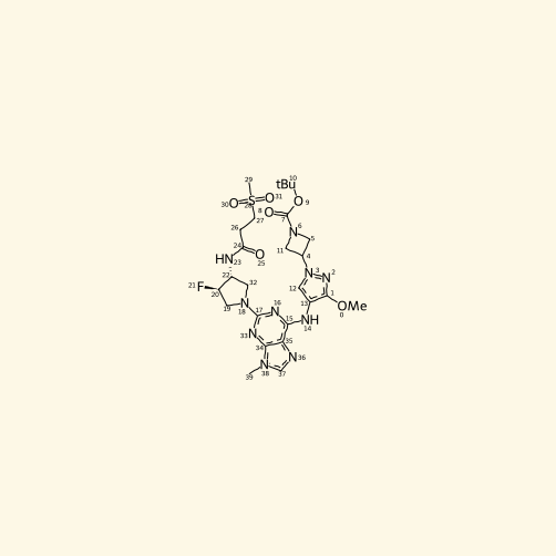 COc1nn(C2CN(C(=O)OC(C)(C)C)C2)cc1Nc1nc(N2C[C@@H](F)[C@H](NC(=O)CCS(C)(=O)=O)C2)nc2c1ncn2C